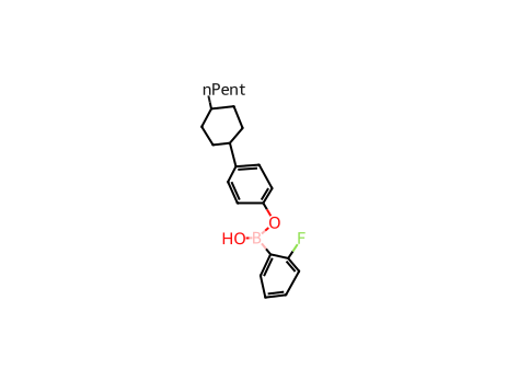 CCCCCC1CCC(c2ccc(OB(O)c3ccccc3F)cc2)CC1